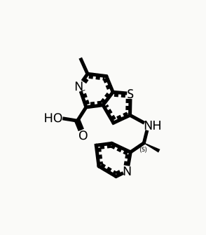 Cc1cc2sc(N[C@@H](C)c3ccccn3)cc2c(C(=O)O)n1